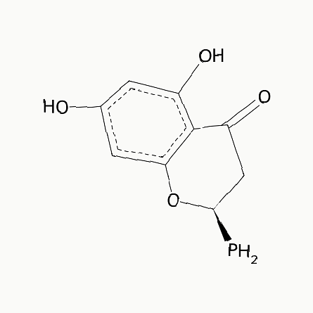 O=C1C[C@@H](P)Oc2cc(O)cc(O)c21